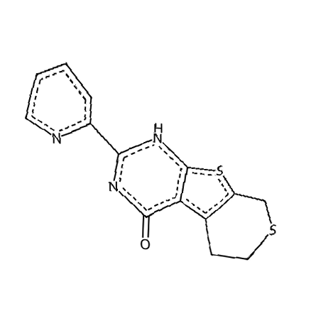 O=c1nc(-c2ccccn2)[nH]c2sc3c(c12)CCSC3